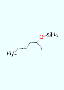 CCCCC(I)O[SiH3]